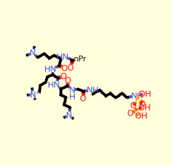 CCCC(=O)NC(CCCCN(C)C)C(=O)NC(CCCC[N+](C)(C)C)C(=O)NC(CCCCN(C)C)C(=O)NCC(=O)NCCCCCCCNP(=O)(O)OP(=O)(O)O